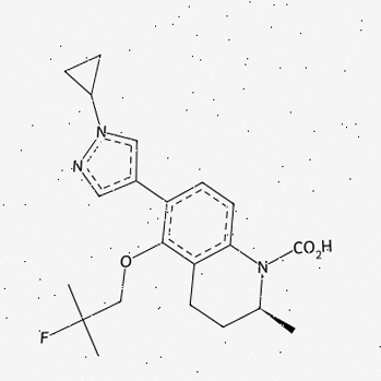 C[C@H]1CCc2c(ccc(-c3cnn(C4CC4)c3)c2OCC(C)(C)F)N1C(=O)O